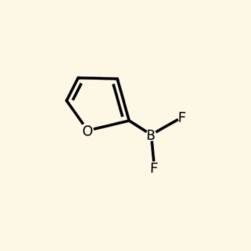 FB(F)c1ccco1